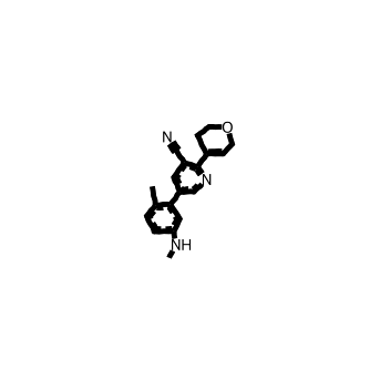 CNc1ccc(C)c(-c2cnc(C3=CCOCC3)c(C#N)c2)c1